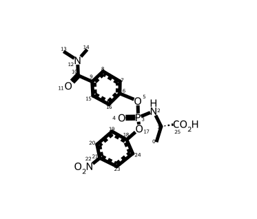 C[C@H](NP(=O)(Oc1ccc(C(=O)N(C)C)cc1)Oc1ccc([N+](=O)[O-])cc1)C(=O)O